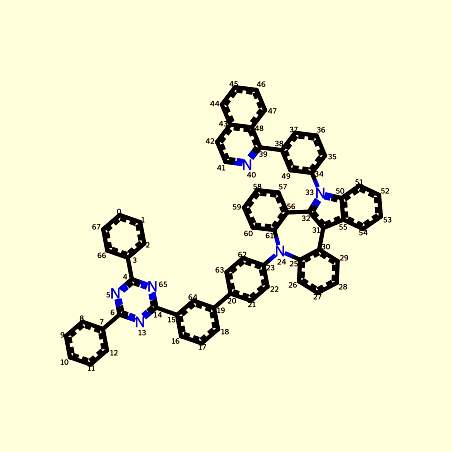 c1ccc(-c2nc(-c3ccccc3)nc(-c3cccc(-c4ccc(N5c6ccccc6-c6c(n(-c7cccc(-c8nccc9ccccc89)c7)c7ccccc67)-c6ccccc65)cc4)c3)n2)cc1